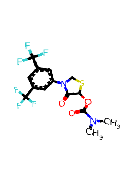 CN(C)C(=O)OC1SCN(c2cc(C(F)(F)F)cc(C(F)(F)F)c2)C1=O